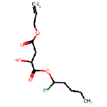 C=CCOC(=O)CC(O)C(=O)OC(Cl)CCCC